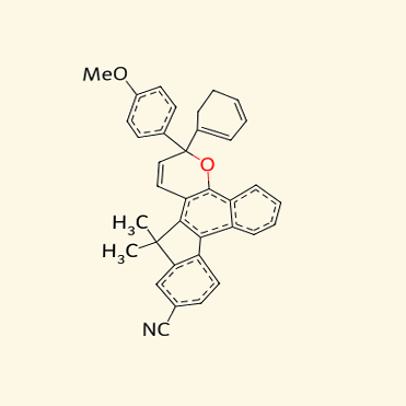 COc1ccc(C2(C3=CC=CCC3)C=Cc3c4c(c5ccccc5c3O2)-c2ccc(C#N)cc2C4(C)C)cc1